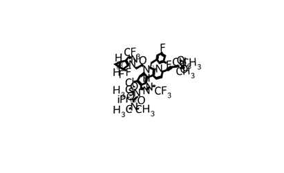 CC(C)[C@@H](C(=O)N(c1nn(CC(F)(F)F)c2c(-c3ccc(C#CC(C)(C)S(C)(=O)=O)nc3[C@H](Cc3cc(F)cc(F)c3)NC(=O)Cn3nc(C(F)(F)F)c4c3C(F)(F)[C@@H]3C[C@H]43)ccc(Cl)c12)S(C)(=O)=O)N(C)C